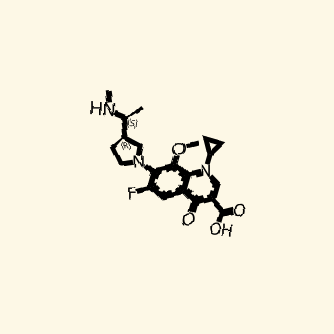 CN[C@@H](C)[C@@H]1CCN(c2c(F)cc3c(=O)c(C(=O)O)cn(C4CC4)c3c2OC)C1